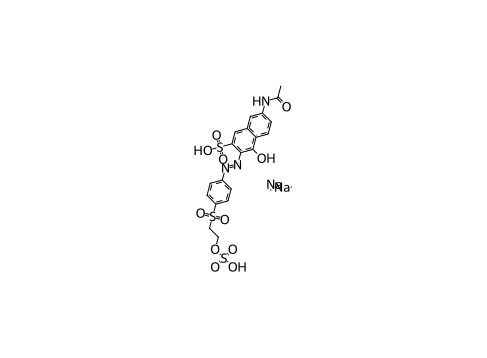 CC(=O)Nc1ccc2c(O)c(N=Nc3ccc(S(=O)(=O)CCOS(=O)(=O)O)cc3)c(S(=O)(=O)O)cc2c1.[Na].[Na]